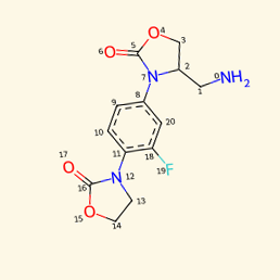 NCC1COC(=O)N1c1ccc(N2CCOC2=O)c(F)c1